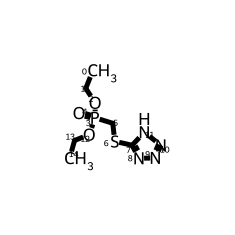 CCOP(=O)(CSc1nnn[nH]1)OCC